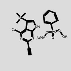 C#Cc1nc(Cl)c2c([Si](C)(C)C)c[nH]c2n1.CC(=O)NO[As](=O)(OO)c1ccccc1